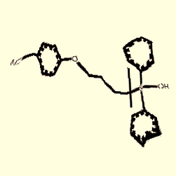 CC(=O)c1ccc(OCCCC(C)(C)[Si](O)(c2ccccc2)c2ccccc2)cc1